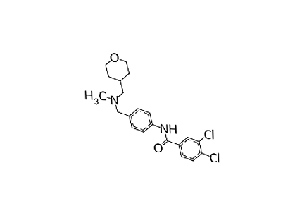 CN(Cc1ccc(NC(=O)c2ccc(Cl)c(Cl)c2)cc1)CC1CCOCC1